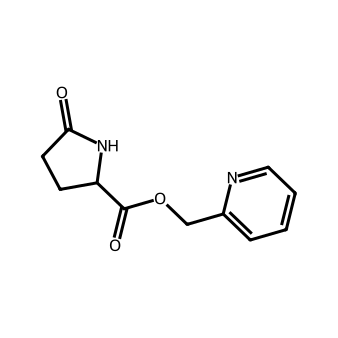 O=C1CCC(C(=O)OCc2ccccn2)N1